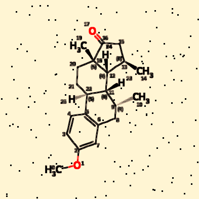 COc1ccc2c(c1)C[C@@H](C)[C@H]1[C@H]3[C@H](C)CC(=O)[C@@]3(C)CC[C@H]21